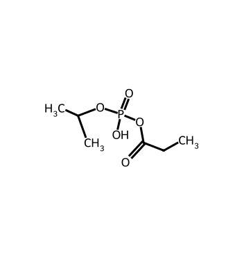 CCC(=O)OP(=O)(O)OC(C)C